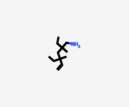 C=CC(C)(CC)CC(C)(CC)CN